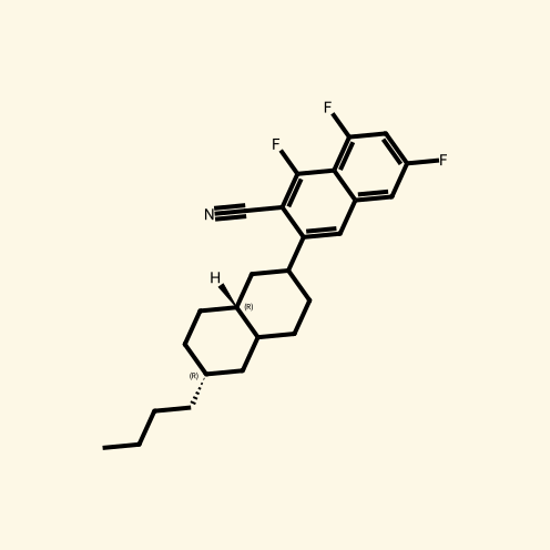 CCCC[C@@H]1CC[C@@H]2CC(c3cc4cc(F)cc(F)c4c(F)c3C#N)CCC2C1